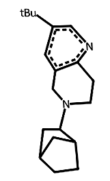 CC(C)(C)c1cnc2c(c1)CN(C1CC3CCC1C3)CC2